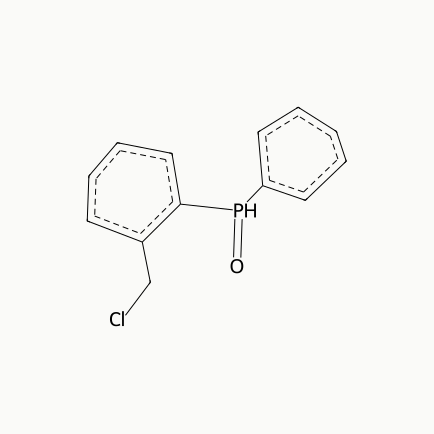 O=[PH](c1ccccc1)c1ccccc1CCl